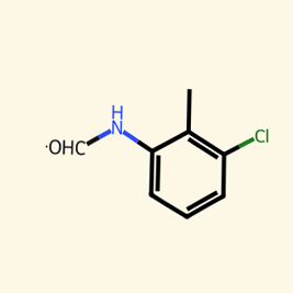 Cc1c(Cl)cccc1N[C]=O